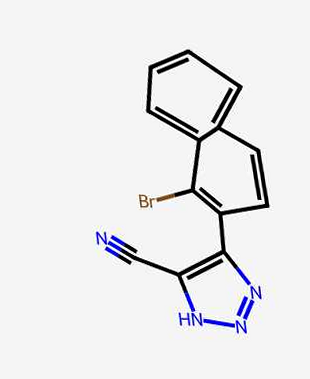 N#Cc1[nH]nnc1-c1ccc2ccccc2c1Br